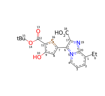 CCc1cccn2c(-c3cc(O)c(C(=O)OC(C)(C)C)s3)c(C(=O)O)nc12